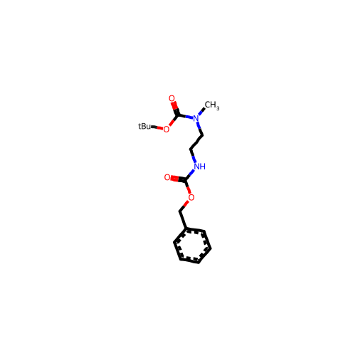 CN(CCNC(=O)OCc1ccccc1)C(=O)OC(C)(C)C